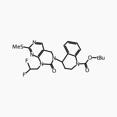 CSc1ncc2c(n1)N(CC(F)F)C(=O)N(C1CCN(C(=O)OC(C)(C)C)c3ccccc31)C2